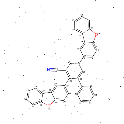 N#Cc1cc(-c2ccc3oc4ccccc4c3c2)cc(-c2ccccc2)c1-c1ccc2oc3ccccc3c2c1